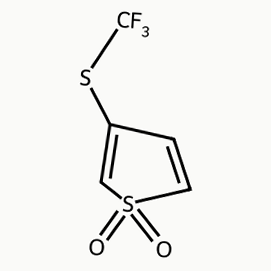 O=S1(=O)C=CC(SC(F)(F)F)=C1